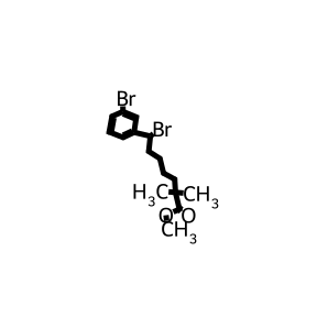 COC(=O)C(C)(C)CCCCC(Br)c1cccc(Br)c1